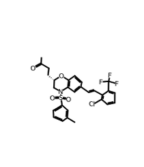 CC(=O)CC[C@H]1CN(S(=O)(=O)c2cccc(C)c2)c2cc(/C=C/c3c(Cl)cccc3C(F)(F)F)ccc2O1